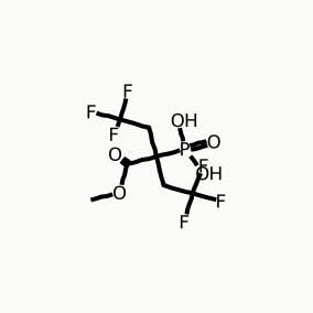 COC(=O)C(CC(F)(F)F)(CC(F)(F)F)P(=O)(O)O